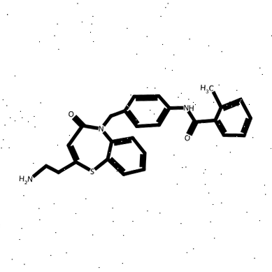 Cc1ccccc1C(=O)Nc1ccc(CN2C(=O)C=C(CCN)Sc3ccccc32)cc1